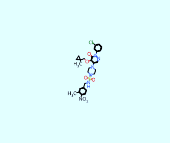 Cc1cc(CNS(=O)(=O)N2CCN(c3cnn(-c4cccc(Cl)c4)c(=O)c3OCC3(C)CC3)CC2)ccc1[N+](=O)[O-]